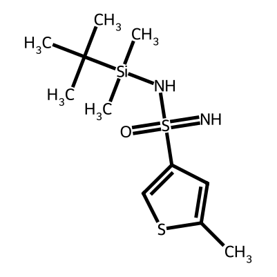 Cc1cc(S(=N)(=O)N[Si](C)(C)C(C)(C)C)cs1